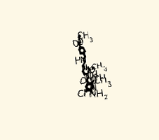 CCOC(=O)c1ccc(CNCCN2CC[C@H](NC(=O)c3cc(Cl)c(N)nc3OC)[C@H](OC)C2)cc1